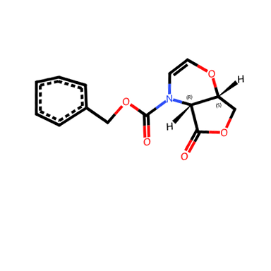 O=C1OC[C@H]2OC=CN(C(=O)OCc3ccccc3)[C@@H]12